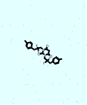 Cc1ccc(CC(F)(F)CN2C(=O)CC(=O)N(CC(F)(F)Cc3ccc(C)cc3)C2=O)cc1